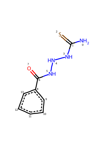 NC(=S)NNNC(=O)c1ccccc1